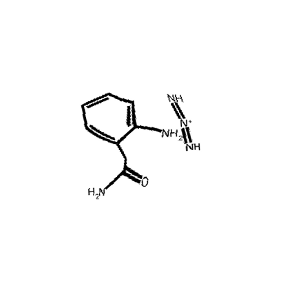 N=[N+]=N.NC(=O)c1ccccc1N